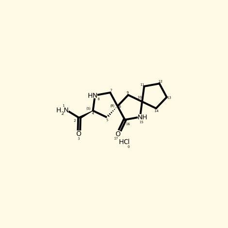 Cl.NC(=O)[C@@H]1C[C@]2(CN1)CC1(CCCC1)NC2=O